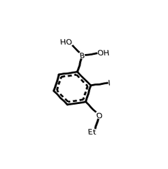 CCOc1cccc(B(O)O)c1I